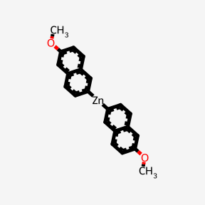 COc1ccc2c[c]([Zn][c]3ccc4cc(OC)ccc4c3)ccc2c1